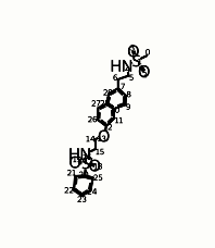 CS(=O)(=O)NCCc1ccc2cc(OCCNS(=O)(=O)c3ccccc3)ccc2c1